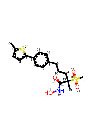 Cc1ccc(-c2ccc(CCCC(C)(C(=O)NO)S(C)(=O)=O)cc2)s1